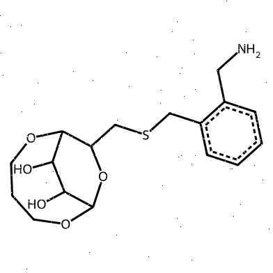 NCc1ccccc1CSCC1OC2OCCCOC1C(O)C2O